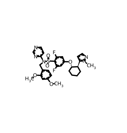 COc1ccc(CN(c2ccncn2)S(=O)(=O)c2c(F)cc(O[C@H]3CCCC[C@@H]3c3ccnn3C)cc2F)c(OC)c1